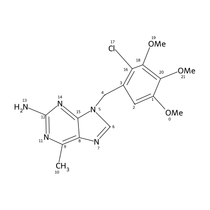 COc1cc(Cn2cnc3c(C)nc(N)nc32)c(Cl)c(OC)c1OC